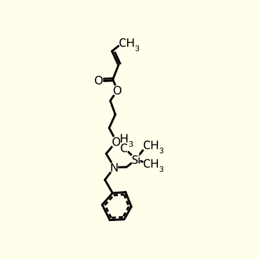 C/C=C/C(=O)OCCCOCN(Cc1ccccc1)C[Si](C)(C)C